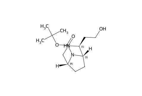 CC(C)(C)OC(=O)N1[C@@H]2CC[C@H]1[C@H](CCO)NC2